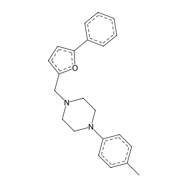 Cc1ccc(N2CCN(Cc3ccc(-c4ccccc4)o3)CC2)cc1